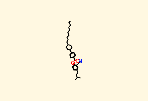 CCCCCCCCCCC1CCC(c2ccc(C(=O)Oc3ccc(CCC(C)C)cc3C#N)cc2)CC1